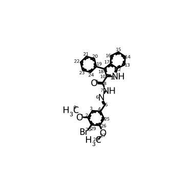 COc1cc(C=NNC(=O)c2[nH]c3ccccc3c2-c2ccccc2)cc(OC)c1Br